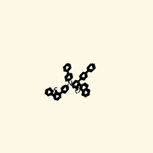 c1ccc(-c2ccc(-c3cc(N(c4ccc(-c5ccccc5)cc4)c4ccc(-c5cccc6c5sc5ccccc56)cc4)cc4oc5c6ccccc6ccc5c34)cc2)cc1